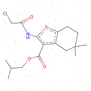 CC(C)COC(=O)c1c(NC(=O)CCl)sc2c1CC(C)(C)CC2